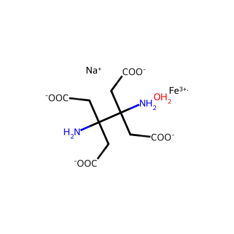 NC(CC(=O)[O-])(CC(=O)[O-])C(N)(CC(=O)[O-])CC(=O)[O-].O.[Fe+3].[Na+]